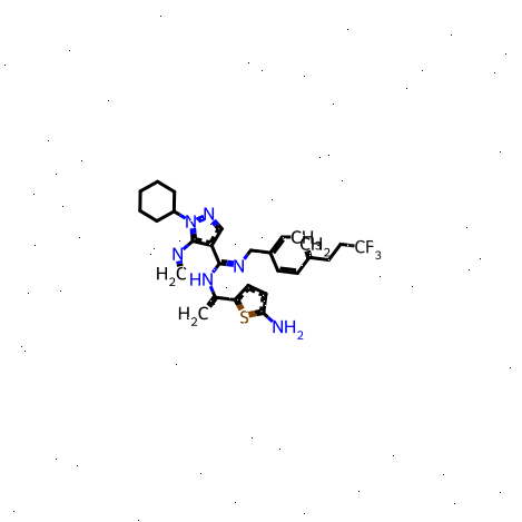 C=Nc1c(/C(=N\CC(/C=C\C(=C)CCC(F)(F)F)=C/C)NC(=C)c2ccc(N)s2)cnn1C1CCCCC1